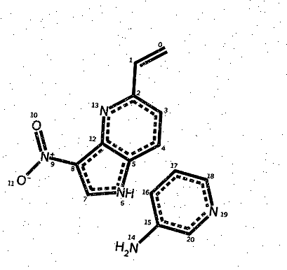 C=Cc1ccc2[nH]cc([N+](=O)[O-])c2n1.Nc1cccnc1